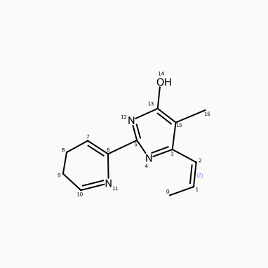 C/C=C\c1nc(C2=CCCC=N2)nc(O)c1C